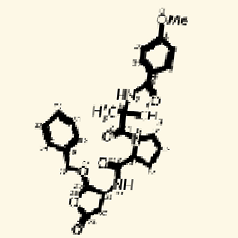 COc1ccc(C(=O)NC(C)(C)C(=O)N2CCCC2C(=O)N[C@H]2CC(=O)OC2OCc2ccccc2)cc1